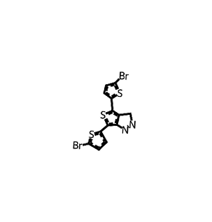 Brc1ccc(-c2sc(-c3ccc(Br)s3)c3c2CN=N3)s1